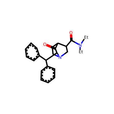 CCN(CC)C(=O)C1CN2CCC1C(=O)C2C(c1ccccc1)c1ccccc1